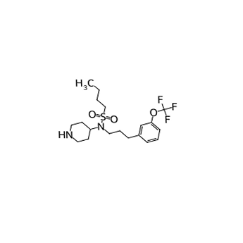 CCCCS(=O)(=O)N(CCCc1cccc(OC(F)(F)F)c1)C1CCNCC1